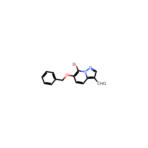 O=Cc1cnn2c(Br)c(OCc3ccccc3)ccc12